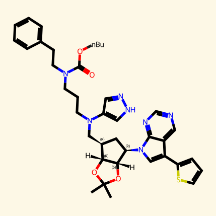 CCCCOC(=O)N(CCCN(C[C@H]1C[C@@H](n2cc(-c3cccs3)c3cncnc32)[C@@H]2OC(C)(C)O[C@H]12)c1cn[nH]c1)CCc1ccccc1